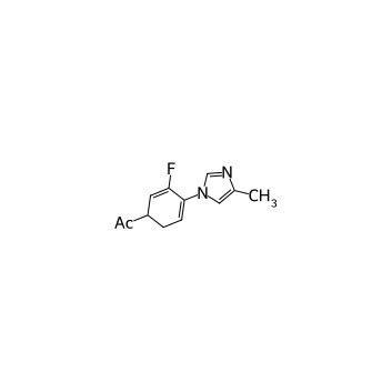 CC(=O)C1C=C(F)C(n2cnc(C)c2)=CC1